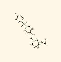 Cc1ccc(C(C)(C)c2ccc(OCc3ccnc(C4CC4)n3)cc2)cc1